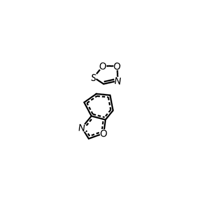 C1=NOOS1.c1ccc2ocnc2c1